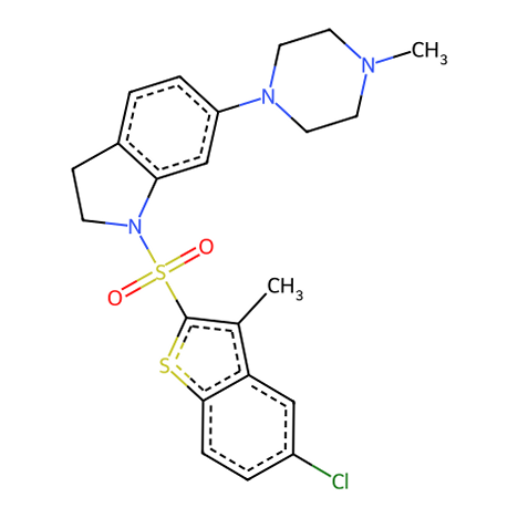 Cc1c(S(=O)(=O)N2CCc3ccc(N4CCN(C)CC4)cc32)sc2ccc(Cl)cc12